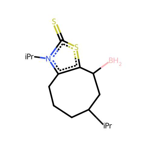 BC1CC(C(C)C)CCCc2c1sc(=S)n2C(C)C